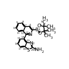 CC1(C)OB(c2cc3ccccc3c(-c3cccc4sc(N)nc34)n2)OC1(C)C